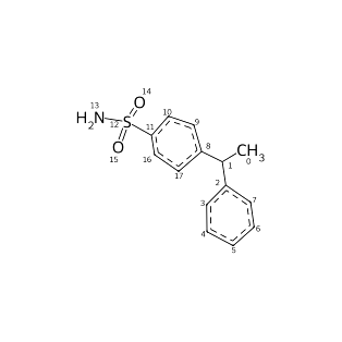 CC(c1ccccc1)c1ccc(S(N)(=O)=O)cc1